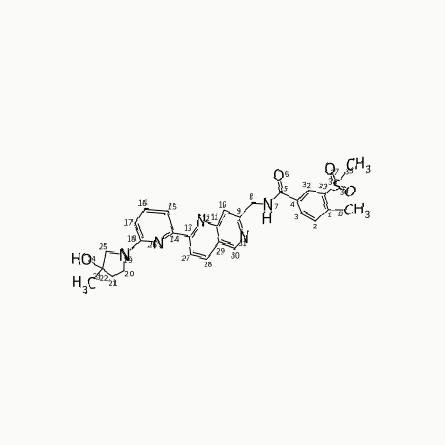 Cc1ccc(C(=O)NCc2cc3nc(-c4cccc(N5CCC(C)(O)C5)n4)ccc3cn2)cc1S(C)(=O)=O